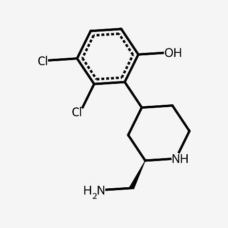 NC[C@H]1CC(c2c(O)ccc(Cl)c2Cl)CCN1